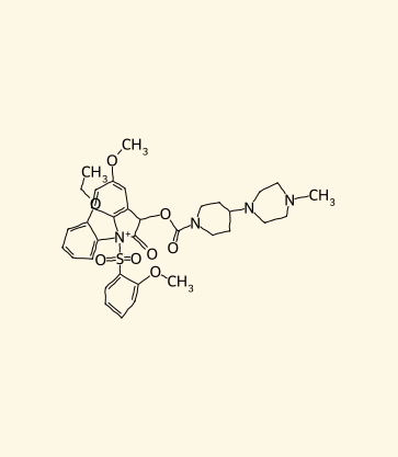 CCOc1ccccc1[N+]1(S(=O)(=O)c2ccccc2OC)C(=O)C(OC(=O)N2CCC(N3CCN(C)CC3)CC2)c2cc(OC)ccc21